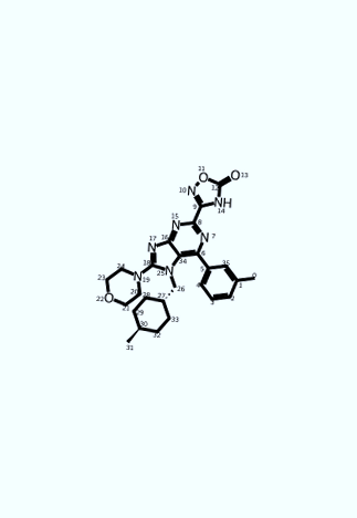 Cc1cccc(-c2nc(-c3noc(=O)[nH]3)nc3nc(N4CCOCC4)n(C[C@H]4CC[C@H](C)CC4)c23)c1